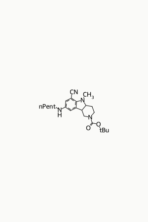 CCCCCNc1cc(C#N)c2c(c1)C1CN(C(=O)OC(C)(C)C)CCC1N2C